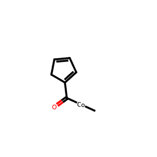 [CH3][Co][C](=O)C1=CC=CC1